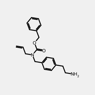 C=CCN(Cc1ccc(CCN)cc1)C(=O)OCc1ccccc1